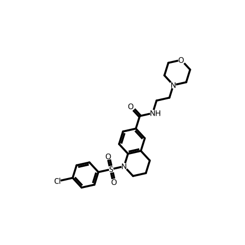 O=C(NCCN1CCOCC1)c1ccc2c(c1)CCCN2S(=O)(=O)c1ccc(Cl)cc1